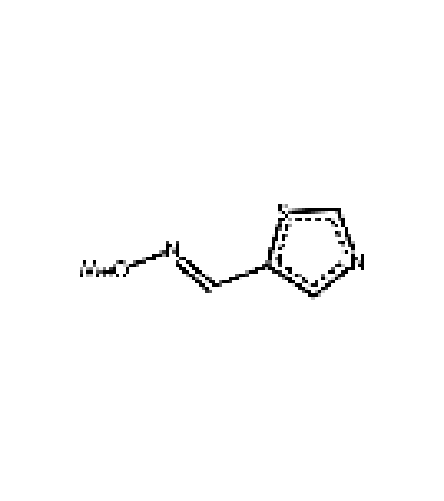 CON=Cc1cncs1